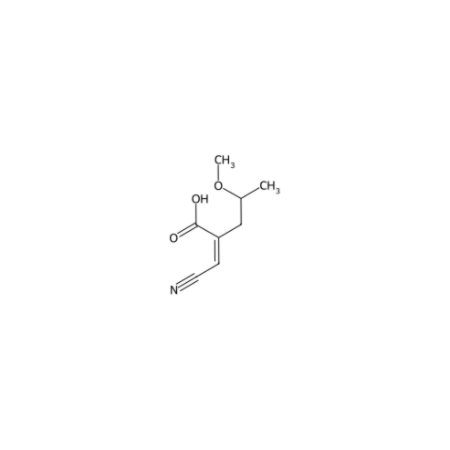 COC(C)C/C(=C/C#N)C(=O)O